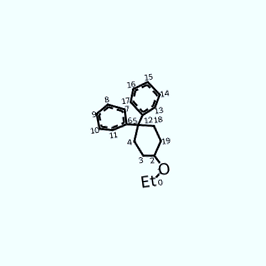 CCOC1CCC(c2ccccc2)(c2ccccc2)CC1